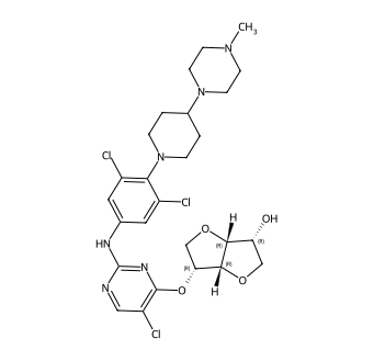 CN1CCN(C2CCN(c3c(Cl)cc(Nc4ncc(Cl)c(O[C@@H]5CO[C@H]6[C@@H]5OC[C@H]6O)n4)cc3Cl)CC2)CC1